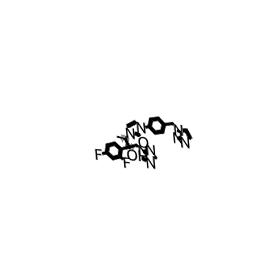 C[C@@H](n1ccn(-c2ccc(Cn3ccnn3)cc2)c1=O)[C@](O)(Cn1cncn1)c1ccc(F)cc1F